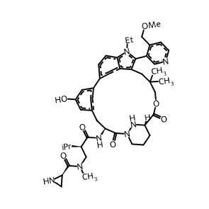 CCn1c(-c2cnccc2COC)c2c3cc(ccc31)-c1cc(O)cc(c1)C[C@H](NC(=O)[C@@H](CN(C)C(=O)[C@H]1CN1)C(C)C)C(=O)N1CCC[C@H](N1)C(=O)OCC(C)(C)C2